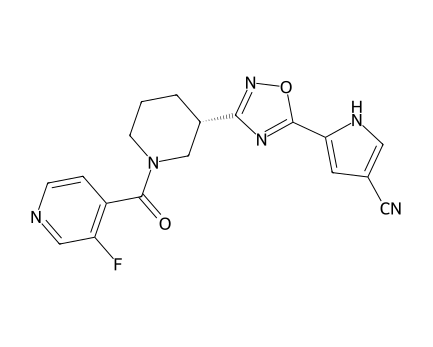 N#Cc1c[nH]c(-c2nc([C@H]3CCCN(C(=O)c4ccncc4F)C3)no2)c1